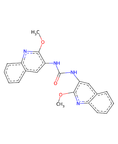 COc1nc2ccccc2cc1NC(=O)Nc1cc2ccccc2nc1OC